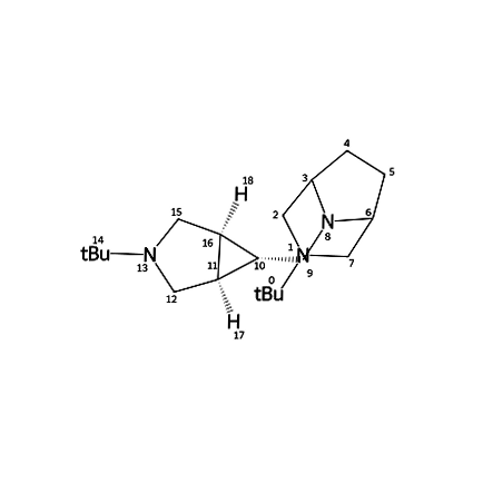 CC(C)(C)N1CC2CCC(C1)N2C[C@@H]1[C@H]2CN(C(C)(C)C)C[C@@H]12